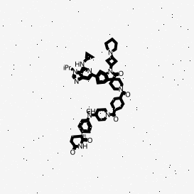 CC(C)n1cnc2cc(-c3ccc4c(c3)N(C3CC(N5CCCCC5)C3)C(=O)C43CCN(C(=O)C4CCC(C(=O)N5CCC(N(C)c6ccc([C@H]7CCC(=O)NC7=O)cc6)CC5)CC4)CC3)nc(NC3CC3)c21